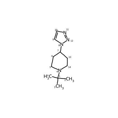 CC(C)(C)N1CCC(n2c[c]nn2)CC1